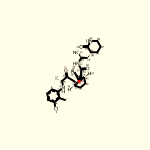 Cc1c(Cl)cccc1N[C@H](C)C(=O)N1[C@@H]2CC[C@H]([C@H]1C(=O)N[C@@H](C#N)C[C@H]1CCCNC1=O)C(F)(F)C2